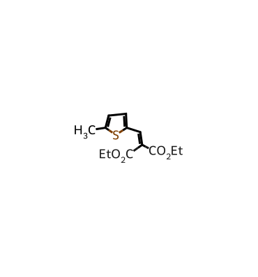 CCOC(=O)C(=Cc1ccc(C)s1)C(=O)OCC